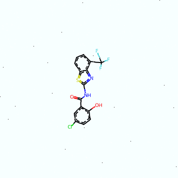 O=C(Nc1nc2c(C(F)(F)F)cccc2s1)c1cc(Cl)ccc1O